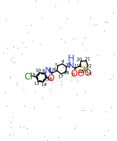 O=C(NC1CCC(c2nc3cc(Cl)ccc3o2)CC1)C1CCCS1(=O)=O